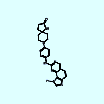 CC(C)n1cnc2ccc3cnc(Nc4ccc(N5CCC6(CCC(=O)N6)CC5)cn4)nc3c21